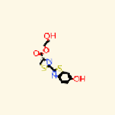 O=C(OCCO)[C@H]1CSC(c2nc3ccc(O)cc3s2)=N1